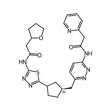 O=C(Cc1ccccn1)Nc1ccc(C[C@H]2CCC(c3nnc(NC(=O)CC4CCCO4)s3)C2)nn1